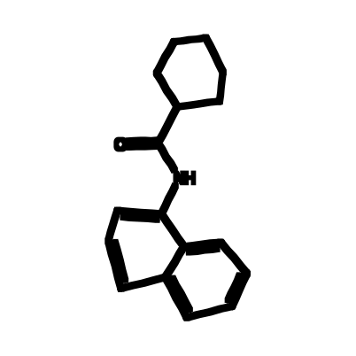 O=C(Nc1cccc2ccccc12)C1CCCCC1